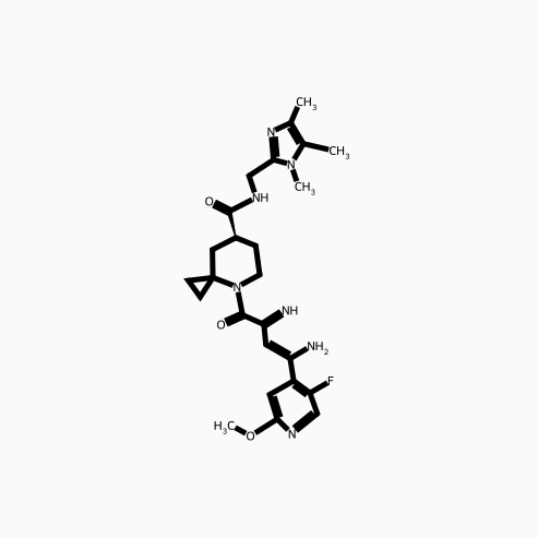 COc1cc(/C(N)=C/C(=N)C(=O)N2CC[C@H](C(=O)NCc3nc(C)c(C)n3C)CC23CC3)c(F)cn1